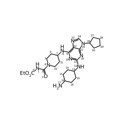 CCOC(=O)NC(=O)N1CCC(Nc2nc(NC3CCC(N)CC3)nc3c2ncn3C2CCCC2)CC1